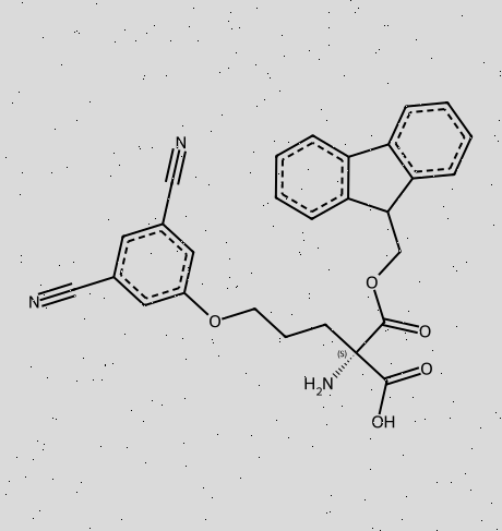 N#Cc1cc(C#N)cc(OCCC[C@](N)(C(=O)O)C(=O)OCC2c3ccccc3-c3ccccc32)c1